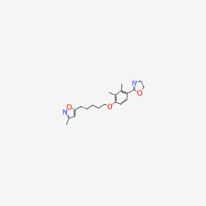 Cc1cc(CCCCCOc2ccc(C3=NCCO3)c(C)c2C)on1